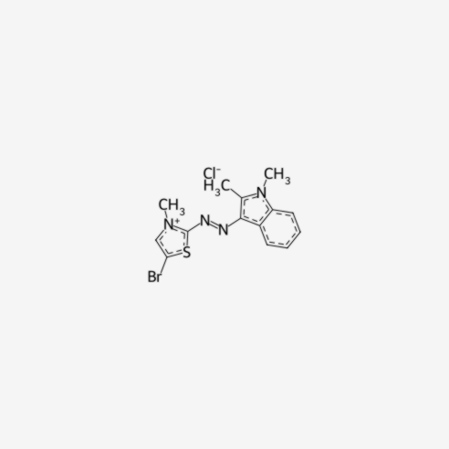 Cc1c(/N=N/c2sc(Br)c[n+]2C)c2ccccc2n1C.[Cl-]